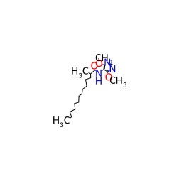 CCCCCCCCCCCCC(C)C(=O)Nc1c(OC)ncnc1OC